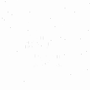 CC(=O)OCC(=O)[C@]1(OC(=O)C(C)C)[C@H](C)C[C@H]2[C@@H]3CCC4=CC(=O)C=C[C@]4(C)[C@@]3(F)[C@@H](O)C[C@@]21C